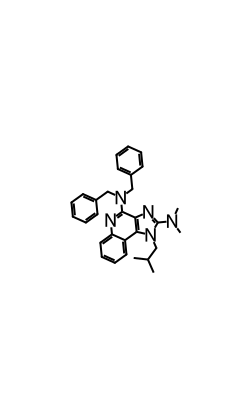 CC(C)Cn1c(N(C)C)nc2c(N(Cc3ccccc3)Cc3ccccc3)nc3ccccc3c21